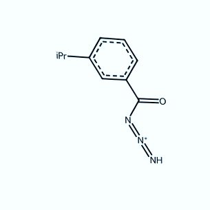 CC(C)c1cccc(C(=O)N=[N+]=N)c1